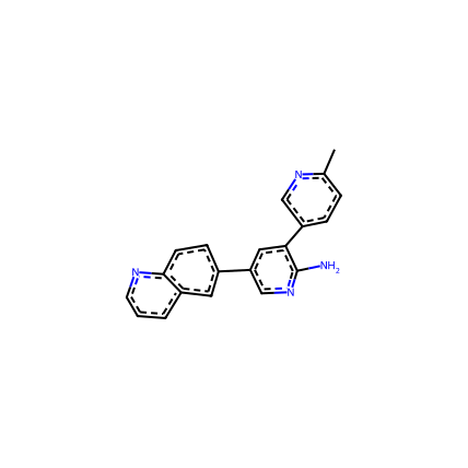 Cc1ccc(-c2cc(-c3ccc4ncccc4c3)cnc2N)cn1